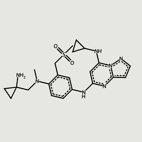 CN(CC1(N)CC1)c1ccc(Nc2cc(NC3CC3)n3nccc3n2)cc1CS(C)(=O)=O